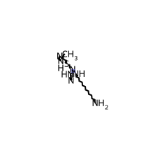 Cc1nc[nH]c1CSCC/N=C(\NC#N)NCCCCCCCCCCCCN